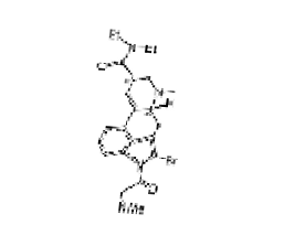 CCN(CC)C(=O)[C@@H]1C=C2c3cccc4c3c(c(Br)n4C(=O)CNC)C[C@H]2N(C)C1